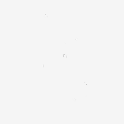 C=CC(=O)NCCNC(=O)c1ccc[n+](C)c1.[I-]